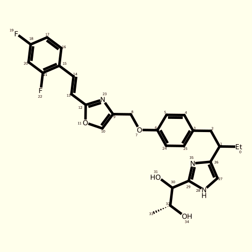 CCC(Cc1ccc(OCc2coc(C=Cc3ccc(F)cc3F)n2)cc1)c1c[nH]c(C(O)[C@@H](C)O)n1